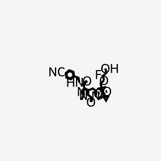 Cn1nc(C(=O)NCc2ccc(C#N)cc2)c2c1C(=O)N(CC1(S(=O)(=O)C(C)(C)CO[C@H](F)CO)CC1)CC2